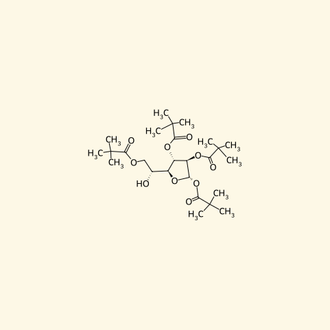 CC(C)(C)C(=O)OC[C@@H](O)[C@@H]1O[C@@H](OC(=O)C(C)(C)C)[C@H](OC(=O)C(C)(C)C)[C@H]1OC(=O)C(C)(C)C